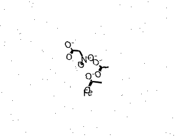 CC(=O)[O-].CC(=O)[O-].O=C([O-])C[N+](=O)[O-].[Fe]